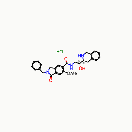 COc1cc2c(cc1C(=O)NC[C@@H](O)[C@@H]1Cc3ccccc3CN1)CN(Cc1ccccc1)C2=O.Cl